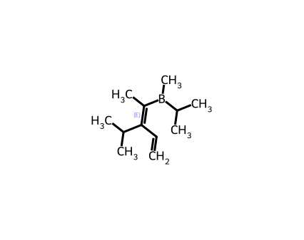 C=C/C(=C(/C)B(C)C(C)C)C(C)C